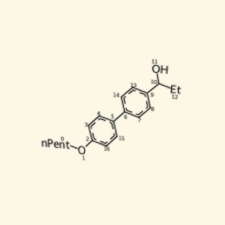 CCCCCOc1ccc(-c2ccc(C(O)CC)cc2)cc1